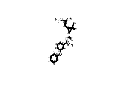 CC1(C)C(/C=C(\Cl)C(F)(F)F)[C@H]1C(=O)O[C@H](C#N)c1cccc(Oc2ccccc2)c1